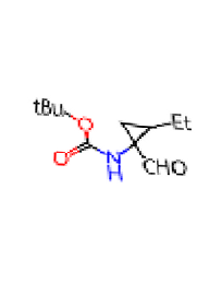 CCC1CC1(C=O)NC(=O)OC(C)(C)C